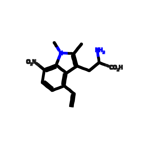 C=Cc1ccc([N+](=O)[O-])c2c1c(CC(N)C(=O)O)c(C)n2C